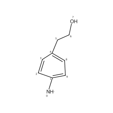 [NH]c1ccc(CCO)cc1